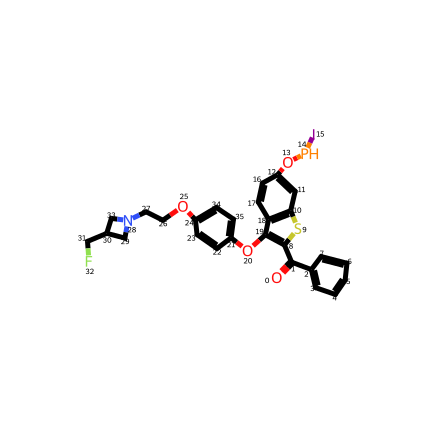 O=C(c1ccccc1)c1sc2cc(OPI)ccc2c1Oc1ccc(OCCN2CC(CF)C2)cc1